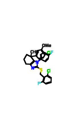 COc1cc(C2(C=O)CCCc3nc(SCc4c(F)cccc4Cl)n(-c4ccc(F)cc4)c32)ccc1Cl